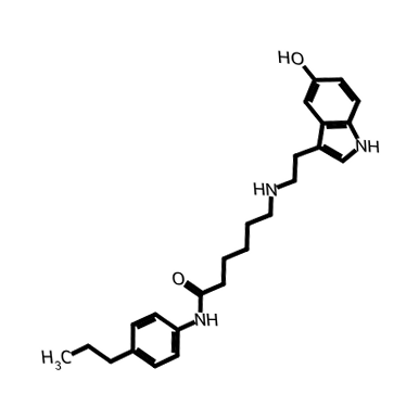 CCCc1ccc(NC(=O)CCCCCNCCc2c[nH]c3ccc(O)cc23)cc1